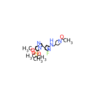 COc1cc2ncc(-c3cc(F)nc(NCC4CCN(C(C)=O)CC4)c3)n2cc1S(=O)(=O)C(C)(C)C